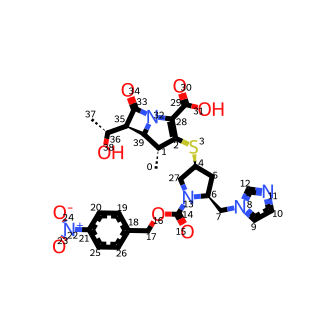 C[C@H]1C(S[C@H]2C[C@@H](Cn3ccnc3)N(C(=O)OCc3ccc([N+](=O)[O-])cc3)C2)=C(C(=O)O)N2C(=O)[C@H]([C@@H](C)O)C12